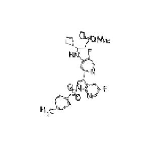 COC(=O)CC(Nc1cc(-c2cn(S(=O)(=O)c3ccc(C)cc3)c3ncc(F)cc23)ncc1F)C1CCC1